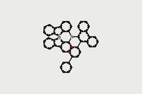 c1ccc(-c2ccc(-c3c(N(c4cccc5c4oc4ccccc45)c4cccc5c4sc4ccccc45)c4ccccc4c4ccccc34)cc2)cc1